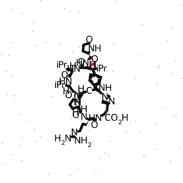 CC(C)C[C@@H]1NC(=O)[C@@H](NC(=O)[C@@H]2CCC(=O)N2)[C@H](C(C)C)c2ccc3c4c([nH]c3c2)-n2cnc(c2)C[C@@H](C(=O)O)NC(=O)[C@H](CCCN=C(N)N)NC(=O)[C@@H]2CCCN2C(=O)[C@H](C4)NC(=O)[C@H](C(C)C)NC1=O